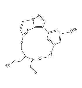 C#Cc1cc2cc(c1)-c1cnn3ccc(nc13)OCC(CCC)N(C=O)CCN2